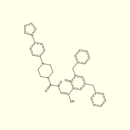 O=C(/C=C(/O)c1cc(Cc2ccccc2)cn(Cc2ccccc2)c1=O)C(=O)N1CCN(c2ccc(-n3cccc3)cc2)CC1